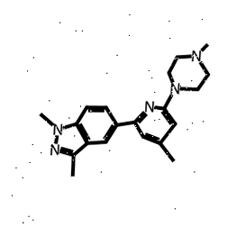 Cc1cc(-c2ccc3c(c2)c(C)nn3C)nc(N2CCN(C)CC2)c1